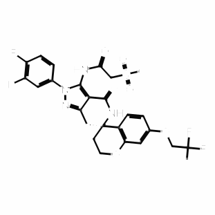 CS(=O)(=O)CC(=O)Nc1c2c(nn1-c1ccc(F)c(F)c1)C[C@]1(CCOc3cc(OCC(F)(F)F)ccc31)NC2=O